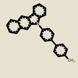 Cc1ccc(-c2ccc(-n3c4ccccc4c4cc5ccccc5cc43)cc2)cc1